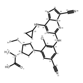 CN(C(=O)O)[C@H]1CN(c2cc(C#N)cc(Nc3nc(NC4CC4)c4ncc(C#N)n4n3)c2Cl)C[C@H]1CF